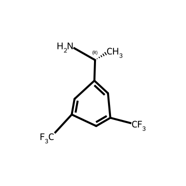 C[C@@H](N)c1cc(C(F)(F)F)cc(C(F)(F)F)c1